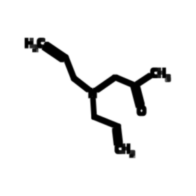 C=CCN(CC=C)CC(C)=O